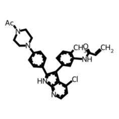 C=CC(=O)Nc1cc(-c2c(-c3ccc(N4CCN(C(C)=O)CC4)cc3)[nH]c3nccc(Cl)c23)ccc1C